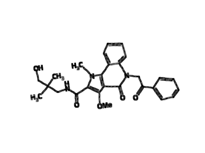 COc1c(C(=O)NCC(C)(C)CO)n(C)c2c1c(=O)n(CC(=O)c1ccccc1)c1ccccc21